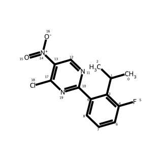 CC(C)c1c(F)cccc1-c1ncc([N+](=O)[O-])c(Cl)n1